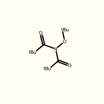 CC(C)(C)ON(C(=O)C(C)(C)C)C(=O)C(C)(C)C